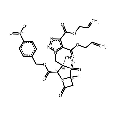 C=CCOC(=O)c1nnn(C[C@]2(C)[C@H](C(=O)OCc3ccc([N+](=O)[O-])cc3)N3C(=O)C[C@H]3S2(=O)=O)c1C(=O)OCC=C